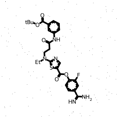 CCN(CCC(=O)Nc1cccc(C(=O)OC(C)(C)C)c1)c1ncc(C(=O)Oc2ccc(C(=N)N)cc2F)s1